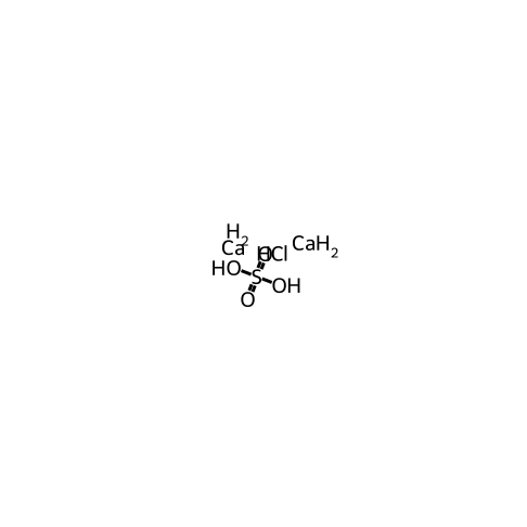 Cl.O=S(=O)(O)O.[CaH2].[CaH2]